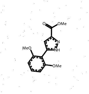 COC(=O)c1cc(-c2c(OC)cccc2OC)[nH]n1